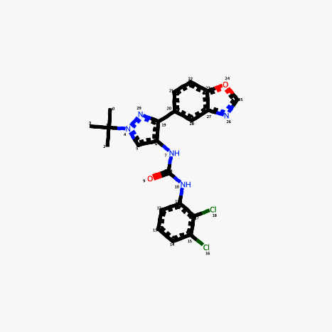 CC(C)(C)n1cc(NC(=O)Nc2cccc(Cl)c2Cl)c(-c2ccc3ocnc3c2)n1